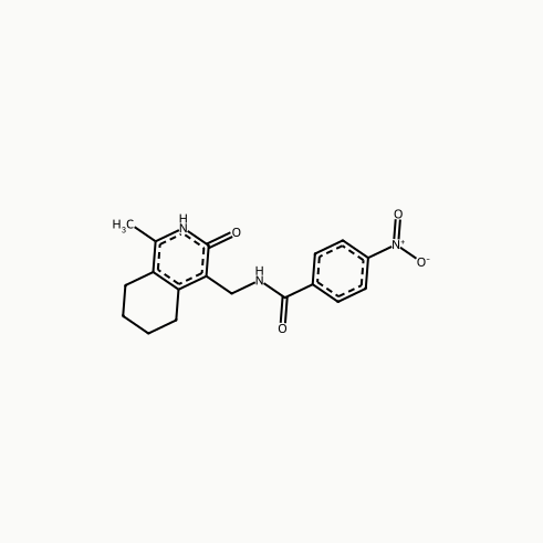 Cc1[nH]c(=O)c(CNC(=O)c2ccc([N+](=O)[O-])cc2)c2c1CCCC2